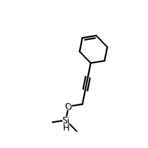 C[SiH](C)OCC#CC1CC=CCC1